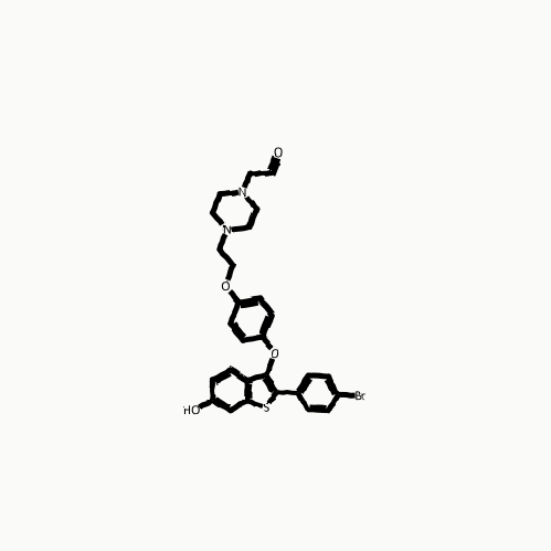 O=CCN1CCN(CCOc2ccc(Oc3c(-c4ccc(Br)cc4)sc4cc(O)ccc34)cc2)CC1